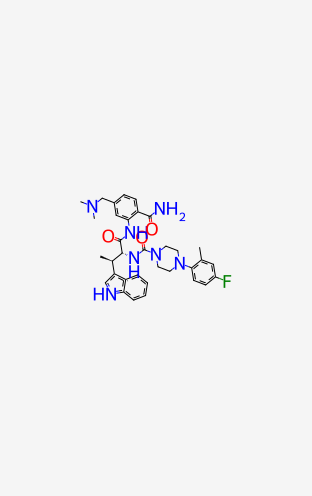 Cc1cc(F)ccc1N1CCN(C(=O)N[C@@H](C(=O)Nc2cc(CN(C)C)ccc2C(N)=O)[C@H](C)c2c[nH]c3ccccc23)CC1